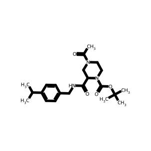 CC(=O)N1CCN(C(=O)OC(C)(C)C)C(C(=O)NCc2ccc(C(C)C)cc2)C1